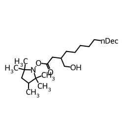 CCCCCCCCCCCCCCCC(CO)CC(=O)ON1C(C)(C)CC(C)C1(C)C